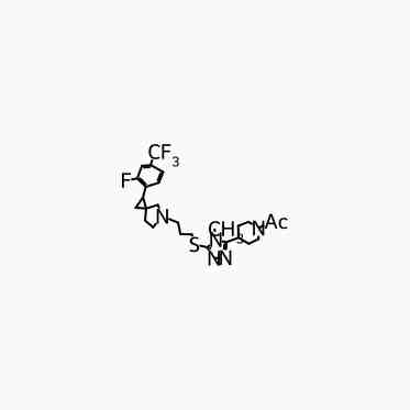 CC(=O)N1CCC(c2nnc(SCCCN3CCC4(CC4c4ccc(C(F)(F)F)cc4F)C3)n2C)CC1